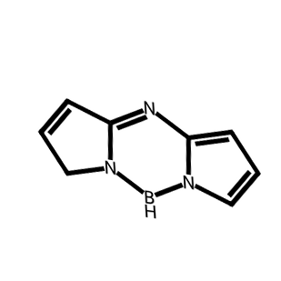 B1N2CC=CC2=Nc2cccn21